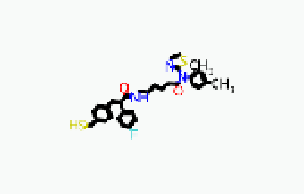 Cc1ccc(N(C(=O)CCCCCNC(=O)C(=Cc2ccc(CS)cc2)c2ccc(F)cc2)c2nccs2)c(C)c1